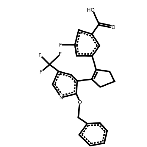 O=C(O)c1cc(F)cc(C2=C(c3cc(C(F)(F)F)cnc3OCc3ccccc3)CCC2)c1